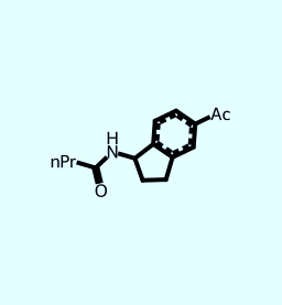 CCCC(=O)NC1CCc2cc(C(C)=O)ccc21